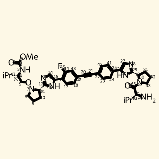 COC(=O)N[C@H](CON1CCC[C@H]1c1ncc(-c2ccc(C#Cc3ccc(-c4cnc([C@@H]5CCCN5C(=O)[C@@H](N)C(C)C)[nH]4)cc3)cc2F)[nH]1)C(C)C